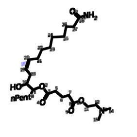 CCCCCC(OC(=O)CCCC(=O)OCCN(C)C)C(O)C/C=C\CCCCCCCC(N)=O